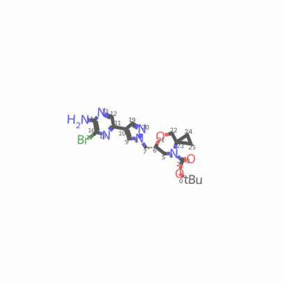 CC(C)(C)OC(=O)N1C[C@H](Cn2cc(-c3cnc(N)c(Br)n3)cn2)OCC12CC2